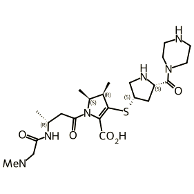 CNCC(=O)N[C@H](C)CC(=O)N1C(C(=O)O)=C(S[C@@H]2CN[C@H](C(=O)N3CCNCC3)C2)[C@H](C)[C@@H]1C